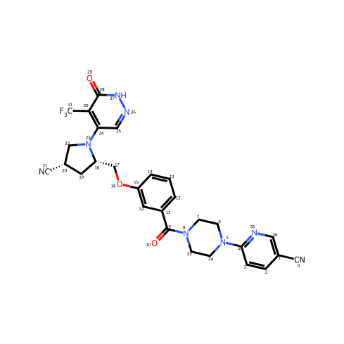 N#Cc1ccc(N2CCN(C(=O)c3cccc(OC[C@@H]4C[C@H](C#N)CN4c4cn[nH]c(=O)c4C(F)(F)F)c3)CC2)nc1